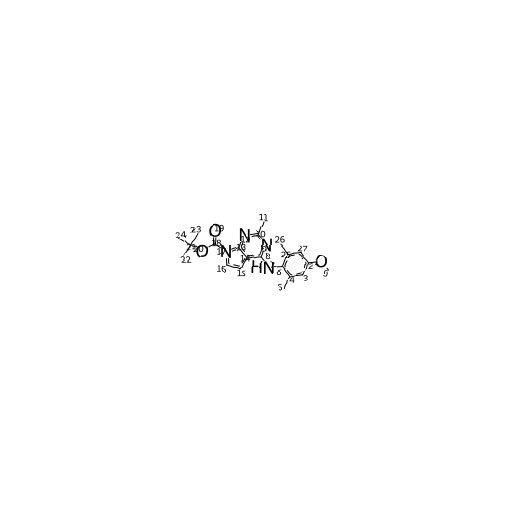 COc1cc(C)c(Nc2nc(C)nc3c2ccn3C(=O)OC(C)(C)C)c(C)c1